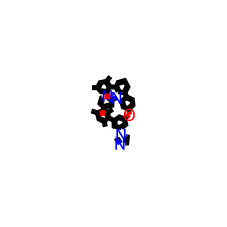 Cc1ccnc(-n2c3cc(Oc4cc(-c5c(C)cc(C)cc5C)cc(-n5ccnc5)c4)ccc3c3cccc(-c4c(C)cc(C)cc4C)c32)c1